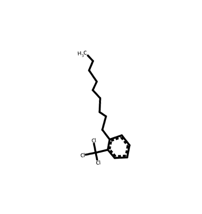 CCCCCCCCCc1ccccc1C(Cl)(Cl)Cl